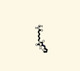 O=C(CCCCCN1C(=O)N/C(=C\c2ccco2)C1=O)NO